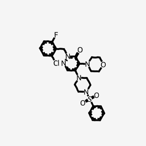 O=c1c(N2CCOCC2)c(N2CCN(S(=O)(=O)c3ccccc3)CC2)cnn1Cc1c(F)cccc1Cl